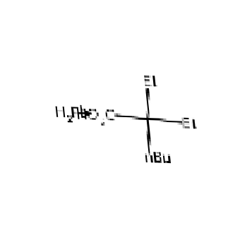 CCCCC(CC)(CC)C(=O)O.[PbH2]